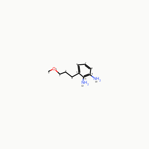 COCCCc1cccc(N)c1N